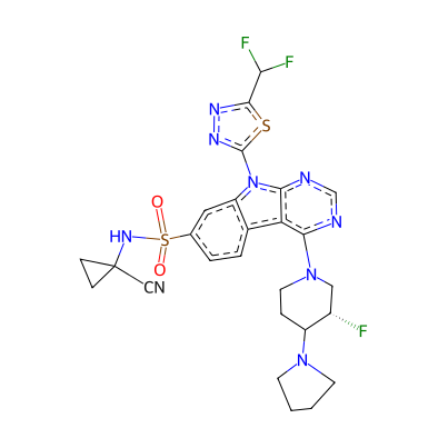 N#CC1(NS(=O)(=O)c2ccc3c4c(N5CCC(N6CCCC6)[C@@H](F)C5)ncnc4n(-c4nnc(C(F)F)s4)c3c2)CC1